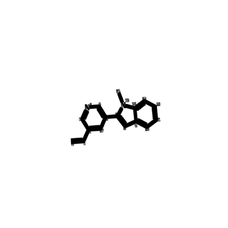 C=Cc1cncc(-c2cc3ccccc3n2C)c1